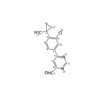 CC1(c2ccc(-c3cc(C=O)ncn3)cc2Cl)CC1